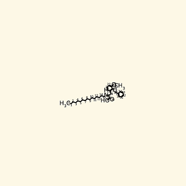 CCCCCCCCCCCCCCCCN[C@@H](Cc1cccc(OC)c1OCc1ccccc1)C(=O)O